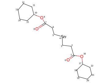 O=C(C[CH2][Sn][CH2]CC(=O)OC1CCCCC1)OC1CCCCC1